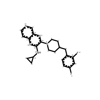 Fc1ccc(CC2CCN(c3nc4cnccc4nc3NC3CC3)CC2)c(F)c1